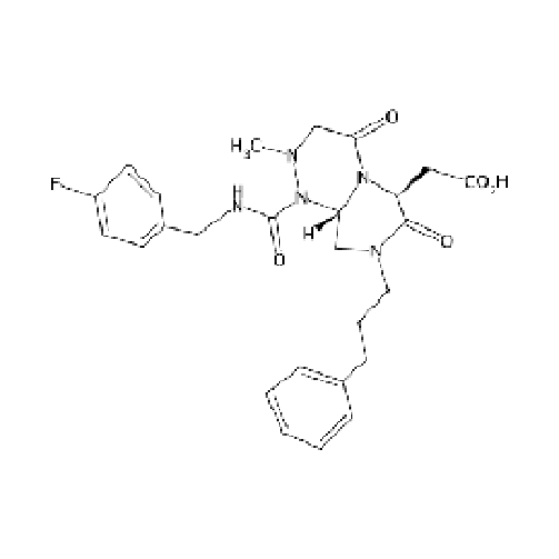 CN1CC(=O)N2[C@@H](CC(=O)O)C(=O)N(CCCc3ccccc3)C[C@@H]2N1C(=O)NCc1ccc(F)cc1